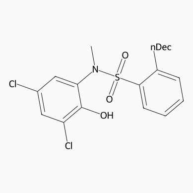 CCCCCCCCCCc1ccccc1S(=O)(=O)N(C)c1cc(Cl)cc(Cl)c1O